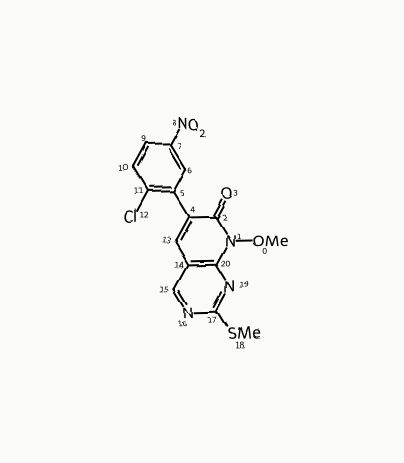 COn1c(=O)c(-c2cc([N+](=O)[O-])ccc2Cl)cc2cnc(SC)nc21